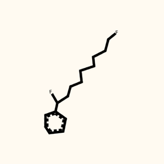 FCCCCCCCCC(F)c1ccccc1